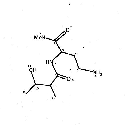 CNC(=O)C(CCN)NC(=O)C(C)C(C)O